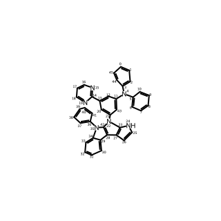 c1ccc(N(c2ccccc2)c2cc(-c3ncccn3)cc(-n3c4[nH]ccc4c4c5ccccc5n(-c5ccccc5)c43)c2)cc1